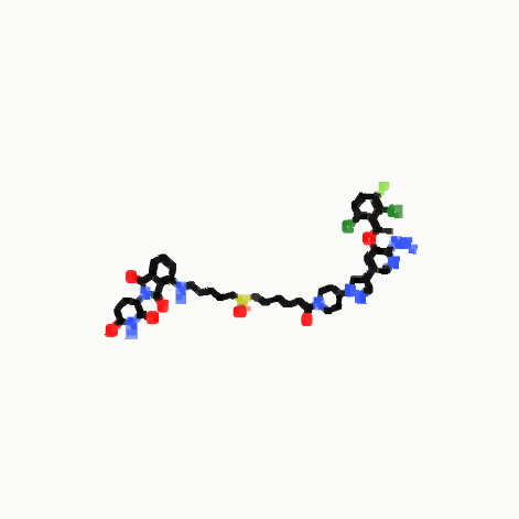 CC(Oc1cc(-c2cnn(C3CCN(C(=O)CCCCC[S+]([O-])CCCCCNc4cccc5c4C(=O)N(C4CCC(=O)NC4=O)C5=O)CC3)c2)cnc1N)c1c(Cl)ccc(F)c1Cl